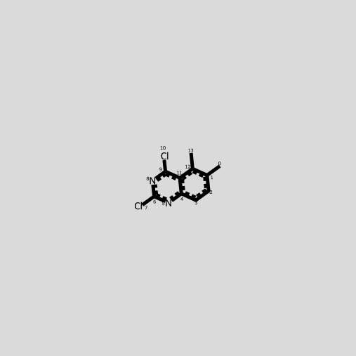 Cc1ccc2nc(Cl)nc(Cl)c2c1C